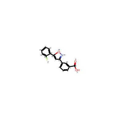 O=C(O)c1cccc(-c2cc(-c3ccccc3F)on2)c1